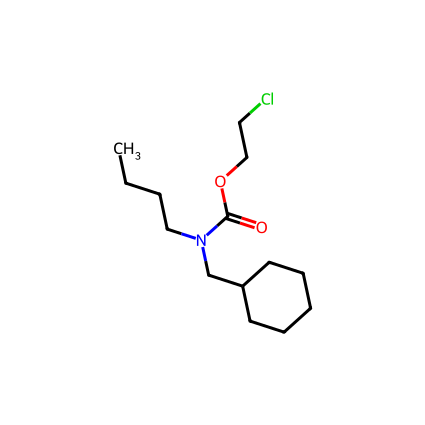 CCCCN(CC1CCCCC1)C(=O)OCCCl